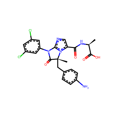 C[C@H](NC(=O)c1cnc2n1[C@](C)(Cc1ccc(N)cc1)C(=O)N2c1cc(Cl)cc(Cl)c1)C(=O)O